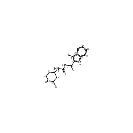 Cc1c(C(C)NC(=O)NC2CCOC(C)C2)oc2ccccc12